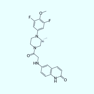 COc1c(F)cc(N2CCN(C(=O)CNc3ccc4[nH]c(=O)ccc4c3)C[C@H]2C)cc1F